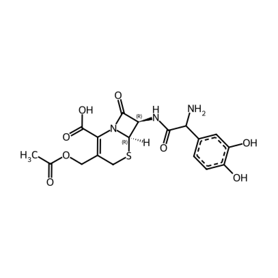 CC(=O)OCC1=C(C(=O)O)N2C(=O)[C@@H](NC(=O)C(N)c3ccc(O)c(O)c3)[C@H]2SC1